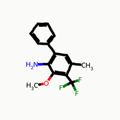 COc1c(N)c(-c2ccccc2)cc(C)c1C(F)(F)F